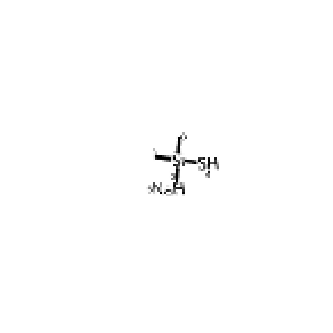 C[Si](C)(C)S.[NaH]